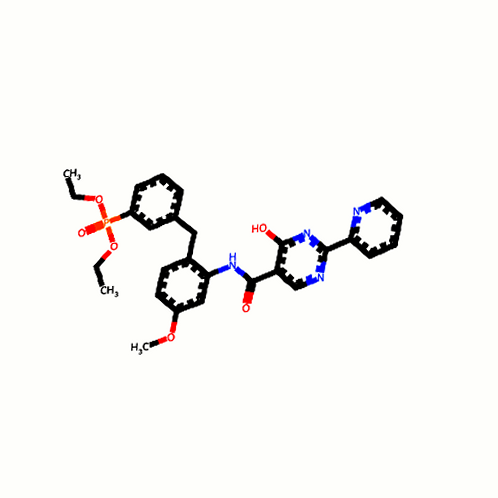 CCOP(=O)(OCC)c1cccc(Cc2ccc(OC)cc2NC(=O)c2cnc(-c3ccccn3)nc2O)c1